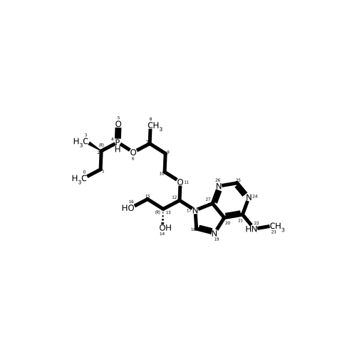 CC[C@@H](C)[PH](=O)OC(C)CCOC([C@H](O)CO)n1cnc2c(NC)ncnc21